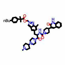 CCCCc1ccc(C(C)(C)C(=O)OCn2cc3cc(CC(NC(=O)N4CCC(c5cc6ccccc6[nH]c5=O)CC4)C(=O)N4CCN(C5CCN(C)CC5)CC4)cc(C)c3n2)cc1